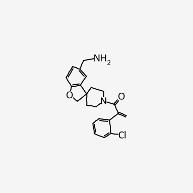 C=C(C(=O)N1CCC2(CC1)COc1ccc(CN)cc12)c1ccccc1Cl